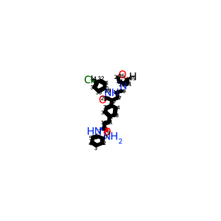 Nc1ccccc1NC(=O)/C=C/c1ccc(C(CCCN2C[C@@H]3CC2CO3)C(=O)Nc2ccc(Cl)cc2)cc1